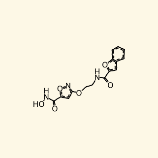 O=C(NO)c1cc(OCCNC(=O)c2cc3ccccc3o2)no1